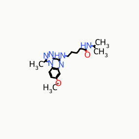 COc1ccc2c(c1)nc(NCCCCC(=O)NC(C)C)c1nnc(C)n12